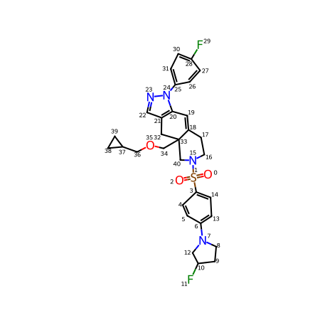 O=S(=O)(c1ccc(N2CCC(F)C2)cc1)N1CCC2=Cc3c(cnn3-c3ccc(F)cc3)CC2(COCC2CC2)C1